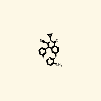 N#Cc1c(-c2cccc(F)c2)c2cc(Oc3ncccc3N)ccc2c(=O)n1C1CC1